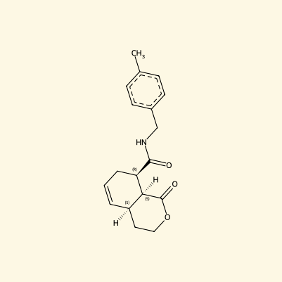 Cc1ccc(CNC(=O)[C@@H]2CC=C[C@@H]3CCOC(=O)[C@@H]32)cc1